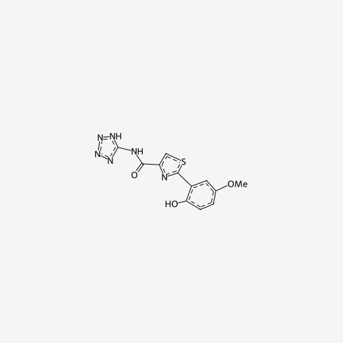 COc1ccc(O)c(-c2nc(C(=O)Nc3nnn[nH]3)cs2)c1